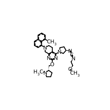 COCCN=C=N[C@@H]1CCN(c2nc(OC[C@@H]3CCCN3C)nc3c2CCN(c2cccc4cccc(C)c24)C3)C1